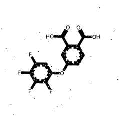 O=C(O)c1ccc(Oc2cc(F)c(F)c(F)c2F)cc1C(=O)O